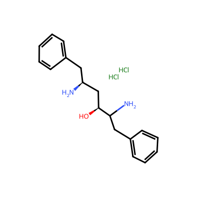 Cl.Cl.NC(Cc1ccccc1)[C@@H](O)C[C@@H](N)Cc1ccccc1